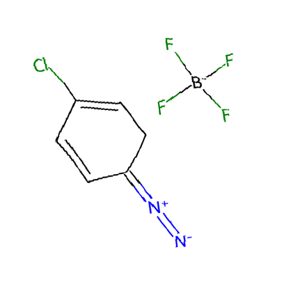 F[B-](F)(F)F.[N-]=[N+]=C1C=CC(Cl)=CC1